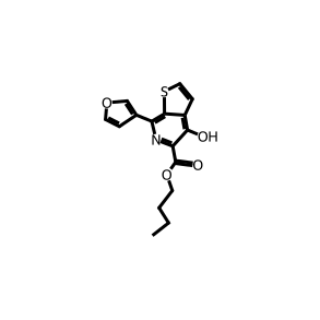 CCCCOC(=O)c1nc(-c2ccoc2)c2sccc2c1O